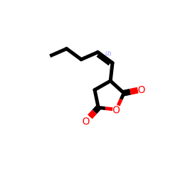 CCC/C=C\C1CC(=O)OC1=O